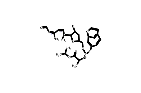 CC(C)OC(=O)C(C)NP(OCC1CC(F)C(N(C)/C=C\C(N)=N/C=O)S1)OC1=CC2C=C(C=CO2)C=C1